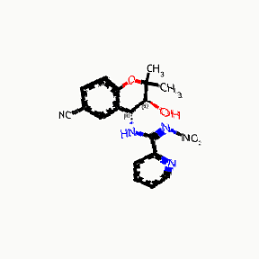 CC1(C)Oc2ccc(C#N)cc2[C@@H](NC(=N[N+](=O)[O-])c2ccccn2)[C@@H]1O